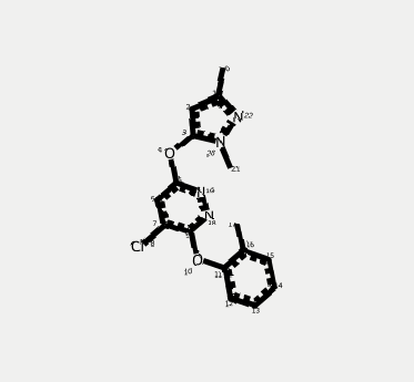 Cc1[c]c(Oc2cc(Cl)c(Oc3ccccc3C)nn2)n(C)n1